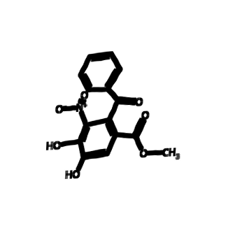 COC(=O)c1cc(O)c(O)c([N+](=O)[O-])c1C(=O)c1ccccc1